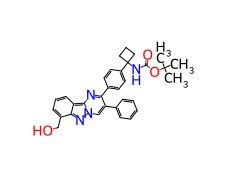 CC(C)(C)OC(=O)NC1(c2ccc(-c3nc4c5cccc(CO)c5nn4cc3-c3ccccc3)cc2)CCC1